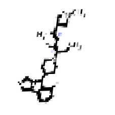 C=C/C(=C(F)\C=C(/C)c1cnn(C)c1)N1CCC(C2c3c(F)cccc3-c3cncn32)CC1